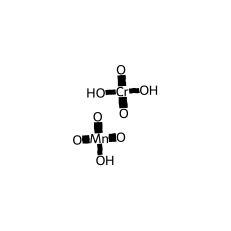 [O]=[Cr](=[O])([OH])[OH].[O]=[Mn](=[O])(=[O])[OH]